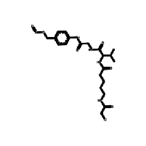 CC(C)C(NC(=O)CCCCNC(=O)CCl)C(=O)NCC(=O)Nc1ccc(CON=O)cc1